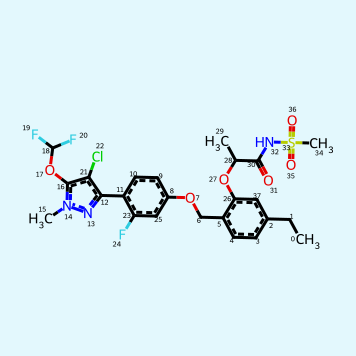 CCc1ccc(COc2ccc(-c3nn(C)c(OC(F)F)c3Cl)c(F)c2)c(OC(C)C(=O)NS(C)(=O)=O)c1